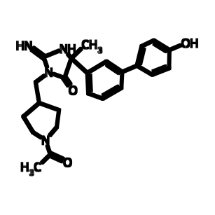 CC(=O)N1CCC(CN2C(=N)NC(C)(c3cccc(-c4ccc(O)cc4)c3)C2=O)CC1